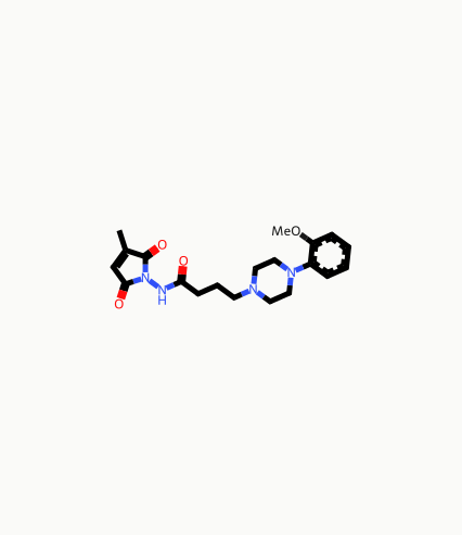 COc1ccccc1N1CCN(CCCC(=O)NN2C(=O)C=C(C)C2=O)CC1